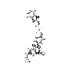 O=C(NO)C1(S(=O)(=O)c2ccc(OCCCSc3nc4ccccc4s3)cc2)CCN(CC2CC2)CC1